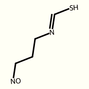 O=NCCCN=CS